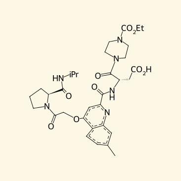 CCOC(=O)N1CCN(C(=O)[C@H](CC(=O)O)NC(=O)c2cc(OCC(=O)N3CCC[C@H]3C(=O)NC(C)C)c3ccc(C)cc3n2)CC1